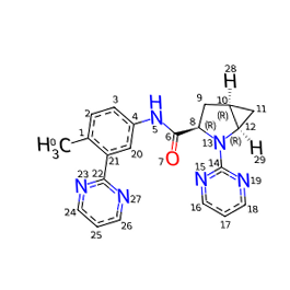 Cc1ccc(NC(=O)[C@H]2C[C@H]3C[C@H]3N2c2ncccn2)cc1-c1ncccn1